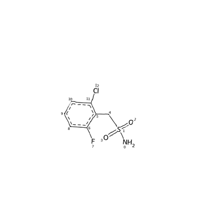 NS(=O)(=O)Cc1c(F)cccc1Cl